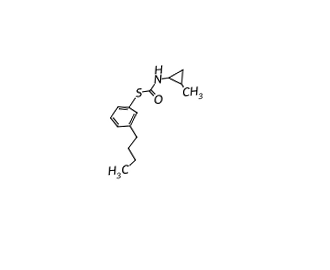 CCCCc1cccc(SC(=O)NC2CC2C)c1